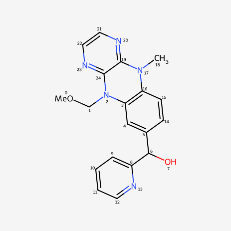 COCN1c2cc(C(O)c3ccccn3)ccc2N(C)c2nccnc21